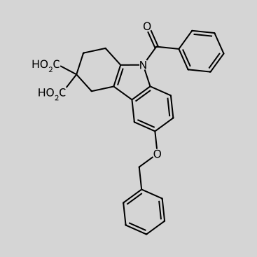 O=C(c1ccccc1)n1c2c(c3cc(OCc4ccccc4)ccc31)CC(C(=O)O)(C(=O)O)CC2